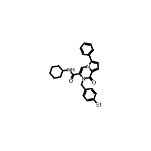 CCc1ccc(Cn2c(C(=O)NC3CCCCC3)cn3c(-c4ccccc4)ccc3c2=O)cc1